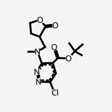 CN(CC1CCOC1=O)c1nnc(Cl)cc1C(=O)OC(C)(C)C